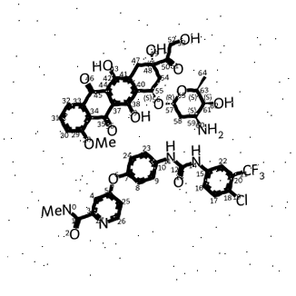 CNC(=O)c1cc(Oc2ccc(NC(=O)Nc3ccc(Cl)c(C(F)(F)F)c3)cc2)ccn1.COc1cccc2c1C(=O)c1c(O)c3c(c(O)c1C2=O)C[C@@](O)(C(=O)CO)C[C@@H]3O[C@H]1C[C@H](N)[C@H](O)[C@H](C)O1